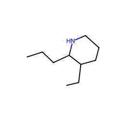 CCCC1NCCCC1CC